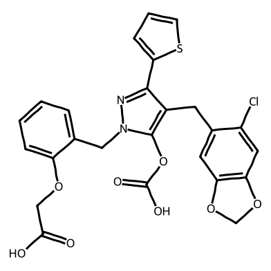 O=C(O)COc1ccccc1Cn1nc(-c2cccs2)c(Cc2cc3c(cc2Cl)OCO3)c1OC(=O)O